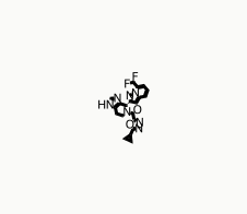 O=C(c1nnc(C2CC2)o1)N1CCc2[nH]cnc2[C@@H]1c1cc2cccc(C(F)F)n2n1